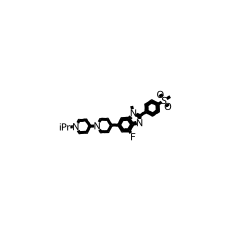 CC(C)N1CCC(N2CCC(c3cc(F)c4nc(-c5ccc(S(C)(=O)=O)cc5)n(C)c4c3)CC2)CC1